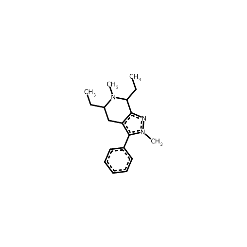 CCC1Cc2c(nn(C)c2-c2ccccc2)C(CC)N1C